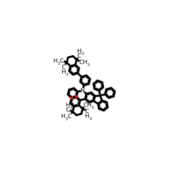 CC1(C)CCC(C)(C)c2cc(-c3cccc(N(c4ccccc4)c4cc5c(cc4-c4cccc6c4C(C)(C)CCC6(C)C)-c4ccccc4C5(c4ccccc4)c4ccccc4)c3)ccc21